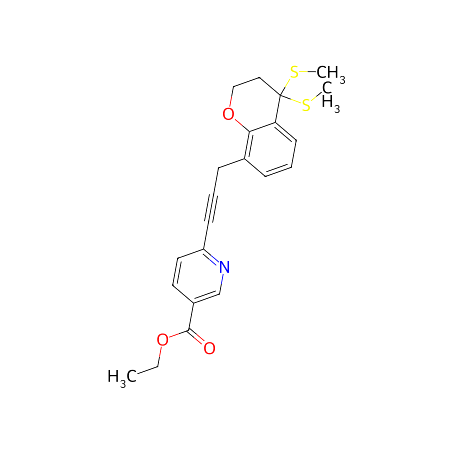 CCOC(=O)c1ccc(C#CCc2cccc3c2OCCC3(SC)SC)nc1